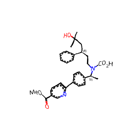 COC(=O)c1ccc(-c2ccc([C@H](C)N(CC[C@H](CC(C)(C)O)c3ccccc3)C(=O)O)cc2)nc1